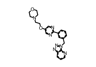 c1cc(Cn2nnc3cccnc32)cc(-c2ncc(OCCN3CCOCC3)cn2)c1